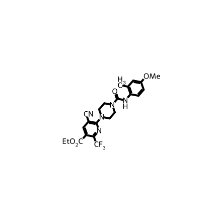 CCOC(=O)c1cc(C#N)c(N2CCN(C(=O)Nc3ccc(OC)cc3C)CC2)nc1C(F)(F)F